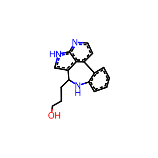 OCCCC1Nc2ccccc2-c2ccnc3[nH]cc1c23